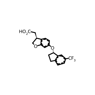 O=C(O)C[C@@H]1COc2cc(O[C@H]3CCc4ccc(C(F)(F)F)cc43)ccc21